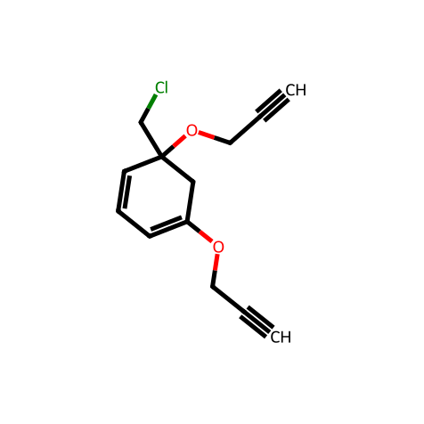 C#CCOC1=CC=CC(CCl)(OCC#C)C1